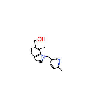 Cc1ccc(Cn2ccc3ccc(CO)c(C)c32)cn1